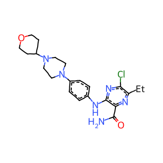 CCc1nc(C(N)=O)c(Nc2ccc(N3CCN(C4CCOCC4)CC3)cc2)nc1Cl